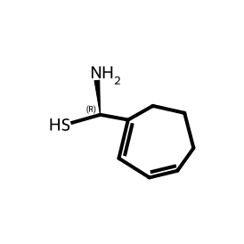 N[C@H](S)C1=CC=CCCC1